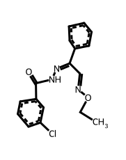 CCON=CC(=NNC(=O)c1cccc(Cl)c1)c1ccccc1